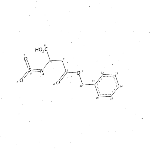 O=C(CC(N=S(=O)=O)C(=O)O)OCc1ccccc1